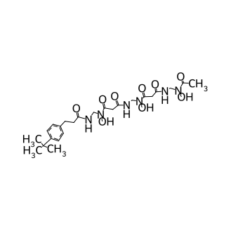 CC(=O)N(O)CNC(=O)CC(=O)N(O)CNC(=O)CC(=O)N(O)CNC(=O)CCc1ccc(C(C)(C)C)cc1